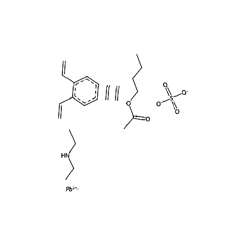 C=C.C=C.C=Cc1ccccc1C=C.CCCCOC(C)=O.CCNCC.O=S(=O)([O-])[O-].[Pb+2]